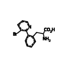 NC(Cc1ccccc1-c1ncccc1Br)C(=O)O